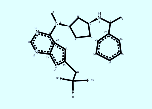 CC(N[C@H]1CC[C@@H](N(C)c2ncnc3sc(CC(F)(F)F)cc23)C1)c1ccccc1